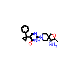 C[C@@H]1OCC2(CCN(c3ncc(C4(c5ccccc5)CC4)c(=O)[nH]3)CC2)[C@@H]1N